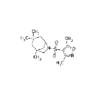 Cc1noc(C)c1S(=O)(=O)N1CC2(C)CC1CC(C)(C)C2